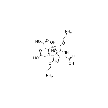 NCCOCC(NCC(=O)O)C(O)(CO)C(COCCN)N(CC(=O)O)C(CC(=O)O)C(=O)O